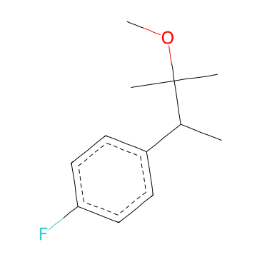 COC(C)(C)C(C)c1ccc(F)cc1